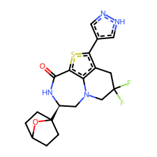 O=C1N[C@H](C23CCC(CC2)O3)CN2CC(F)(F)Cc3c(-c4cn[nH]c4)sc1c32